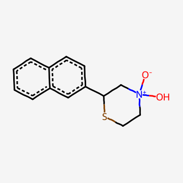 [O-][N+]1(O)CCSC(c2ccc3ccccc3c2)C1